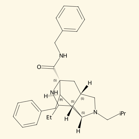 CCC1N[C@@]2(C(=O)NCc3ccccc3)C[C@@H]3CN(CC(C)C)[C@@H]([C@H]13)[C@H]2Cc1ccccc1